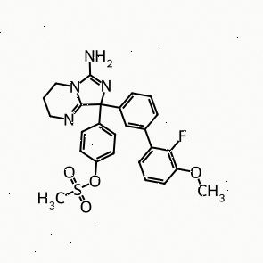 COc1cccc(-c2cccc(C3(c4ccc(OS(C)(=O)=O)cc4)N=C(N)N4CCCN=C43)c2)c1F